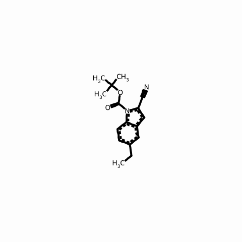 CCc1ccc2c(c1)cc(C#N)n2C(=O)OC(C)(C)C